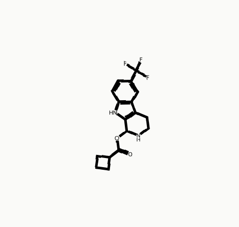 O=C(OC1NCCc2c1[nH]c1ccc(C(F)(F)F)cc21)C1CCC1